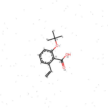 C=Cc1cccc(OC(C)(C)C)c1C(=O)O